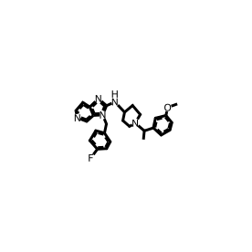 COc1cccc(C(C)N2CCC(Nc3nc4ccncc4n3Cc3ccc(F)cc3)CC2)c1